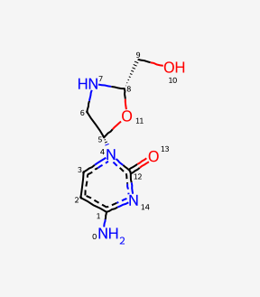 Nc1ccn([C@@H]2CN[C@H](CO)O2)c(=O)n1